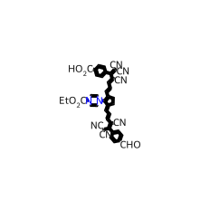 CCOC(=O)N1CCN(C2=C(/C=C/C=C(\C#N)C(=C(C#N)C#N)c3ccc(C(=O)O)cc3)CC\C2=C/C=C/C(C#N)=C(/c2ccc(C=O)cc2)C(C#N)C#N)CC1